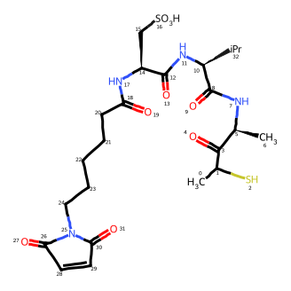 CC(S)C(=O)[C@H](C)NC(=O)[C@@H](NC(=O)[C@H](CS(=O)(=O)O)NC(=O)CCCCCN1C(=O)C=CC1=O)C(C)C